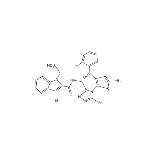 CCc1cc(C(=O)c2ccccc2Cl)c(-n2c(Br)nnc2CNC(=O)c2c(CC)c3ccccc3n2CC(=O)O)s1